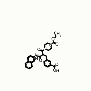 CCOC(=O)N1CCN(C(=O)C(Cc2cccc(C(=O)O)c2)C(=O)[AsH]c2ccc3ccccc3c2)CC1